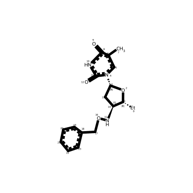 CC[C@H]1O[C@@H](n2cc(C)c(=O)[nH]c2=O)C[C@@H]1NOCc1ccccc1